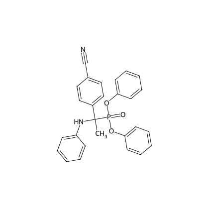 CC(Nc1ccccc1)(c1ccc(C#N)cc1)P(=O)(Oc1ccccc1)Oc1ccccc1